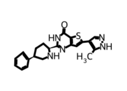 Cc1[nH]ncc1-c1cc2nc([C@@H]3CC[C@H](c4ccccc4)CN3)[nH]c(=O)c2s1